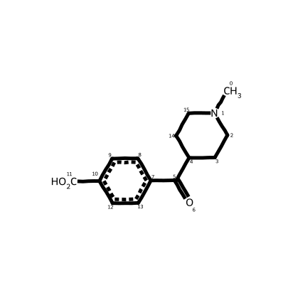 CN1CCC(C(=O)c2ccc(C(=O)O)cc2)CC1